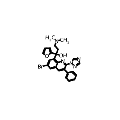 CN(C)CCC(O)(c1ccco1)c1cc(Br)cc2cc(-c3ccccc3)c(-n3cncn3)nc12